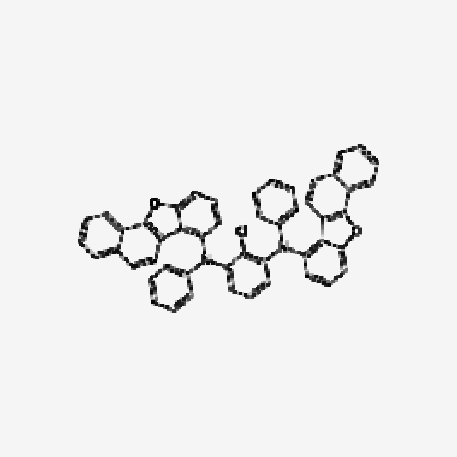 Clc1c(N(c2ccccc2)c2cccc3oc4c5ccccc5ccc4c23)cccc1N(c1ccccc1)c1cccc2oc3c4ccccc4ccc3c12